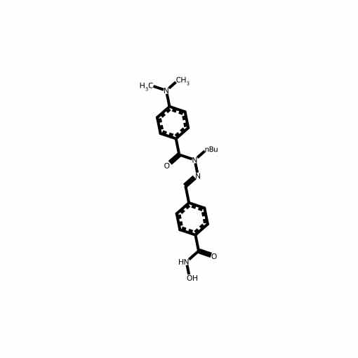 CCCCN(/N=C/c1ccc(C(=O)NO)cc1)C(=O)c1ccc(N(C)C)cc1